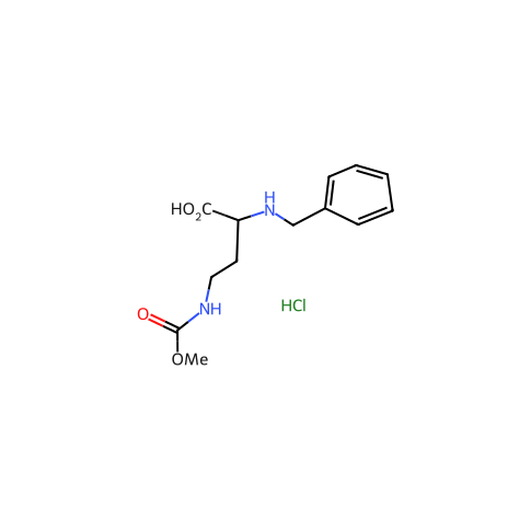 COC(=O)NCCC(NCc1ccccc1)C(=O)O.Cl